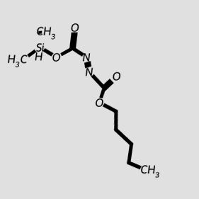 CCCCCOC(=O)N=NC(=O)O[SiH](C)C